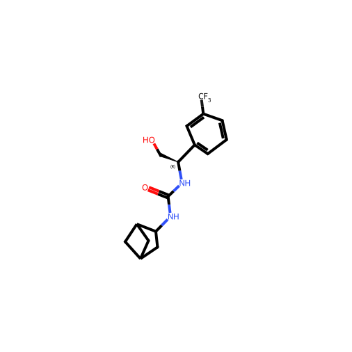 O=C(NC1CC2CC1C2)N[C@@H](CO)c1cccc(C(F)(F)F)c1